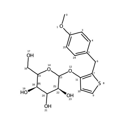 COc1ccc(Cc2sccc2OC2OC(CO)[C@H](O)C(O)[C@@H]2O)cc1